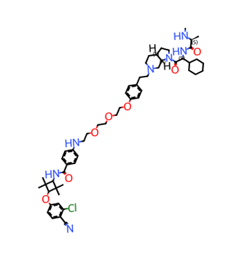 CN[C@@H](C)C(=O)N[C@H](C(=O)N1CC[C@@H]2CCN(CCc3ccc(OCCOCCOCCNc4ccc(C(=O)NC5C(C)(C)C(Oc6ccc(C#N)c(Cl)c6)C5(C)C)cc4)cc3)C[C@@H]21)C1CCCCC1